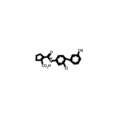 N#Cc1cccc(-c2ccc(NC(=O)C3=C(C(=O)O)CCC3)cc2Cl)c1